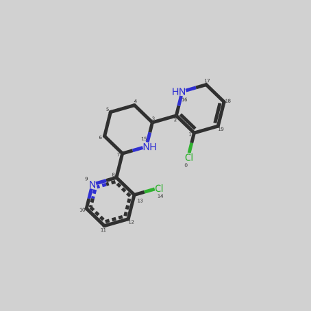 ClC1=C(C2CCCC(c3ncccc3Cl)N2)NCC=C1